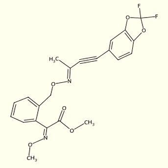 CO/N=C(/C(=O)OC)c1ccccc1CO/N=C(\C)C#Cc1ccc2c(c1)OC(F)(F)O2